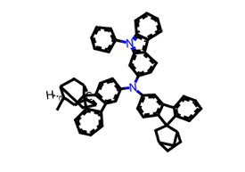 C[C@H]1C2CC3CC(C2)C2(c4ccccc4-c4cc(N(c5ccc6c(c5)-c5ccccc5C65CC6CCC5C6)c5ccc6c7ccccc7n(-c7ccccc7)c6c5)ccc42)C1C3